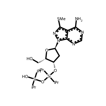 CSc1nn([C@H]2C[C@H](O[Si](O[Si](O)(C(C)C)C(C)C)(C(C)C)C(C)C)[C@H](CO)O2)c2ncnc(N)c12